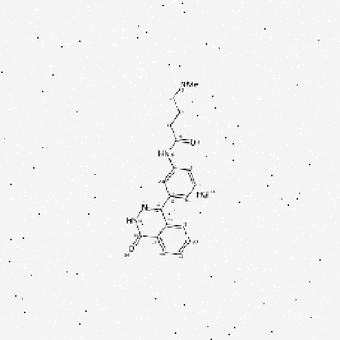 CNCCCC(=O)Nc1cccc(-c2n[nH]c(=O)c3ccccc23)c1.Cl